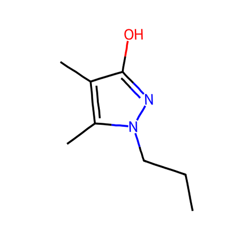 CCCn1nc(O)c(C)c1C